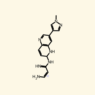 Cn1cc(-c2cnc3c(c2)NC(NC(=N)/C=C\N)C=C3)cn1